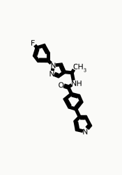 CC(NC(=O)c1ccc(-c2ccncc2)cc1)c1cnn(-c2ccc(F)cc2)c1